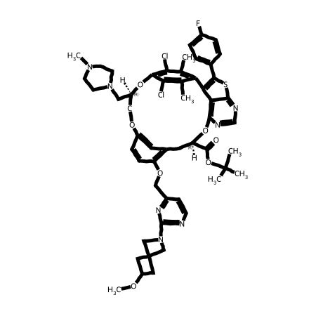 COC1CC2(C1)CN(c1nccc(COc3ccc4cc3C[C@H](C(=O)OC(C)(C)C)Oc3ncnc5sc(-c6ccc(F)cc6)c(c35)-c3c(C)c(Cl)c(c(Cl)c3C)O[C@H](CN3CCN(C)CC3)CO4)n1)C2